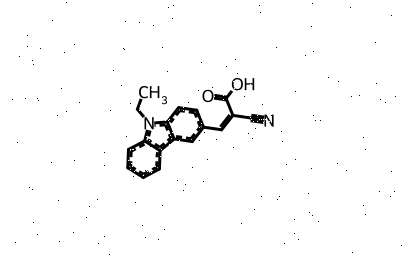 CCn1c2ccccc2c2cc(/C=C(/C#N)C(=O)O)ccc21